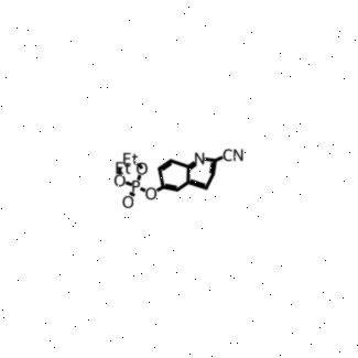 CCOP(=O)(OCC)Oc1ccc2nc(C#N)ccc2c1